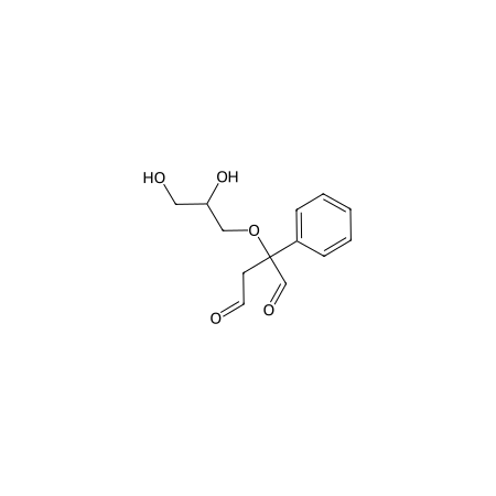 O=CCC(C=O)(OCC(O)CO)c1ccccc1